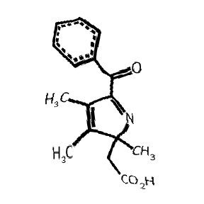 CC1=C(C)C(C)(CC(=O)O)N=C1C(=O)c1ccccc1